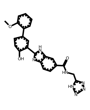 COc1ccccc1-c1ccc(O)c(-c2nc3ccc(C(=O)NCc4nnn[nH]4)cc3[nH]2)c1